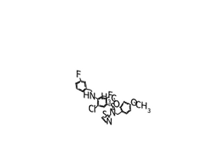 COc1ccc(CN(Sc2cc(Cl)c(NCc3cccc(F)c3)cc2F)c2nccs2)c(OC)c1